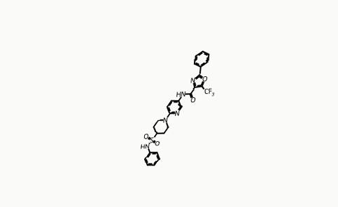 O=C(Nc1ccc(N2CCC(S(=O)(=O)Nc3ccccc3)CC2)nc1)c1nc(-c2ccccc2)oc1C(F)(F)F